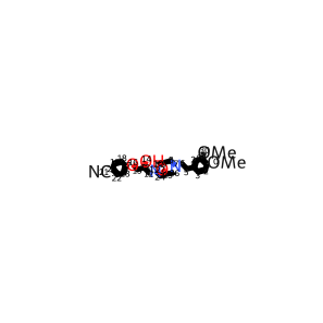 COc1ccc(CCN2CC3CN(CC(O)COc4ccc(C#N)cc4)CC(C2)O3)cc1OC